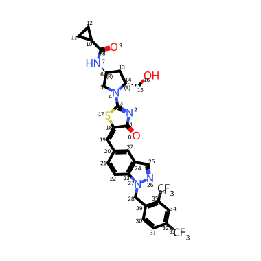 O=C1N=C(N2C[C@H](NC(=O)C3CC3)C[C@@H]2CO)SC1=Cc1ccc2c(cnn2Cc2ccc(C(F)(F)F)cc2C(F)(F)F)c1